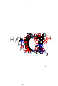 C=CCNC(=O)O[C@H]1[C@H](C)[C@H](O)[C@H](C)[C@@H](O)[C@@H](C)/C=C/C=C(/C)C(=O)NC2=C(N3CCOCC3)C(=O)c3c(c(O)c(C)c4c3C(=O)[C@@](C)(O/C=C/[C@H](OC)[C@H]1C)O4)C2=O